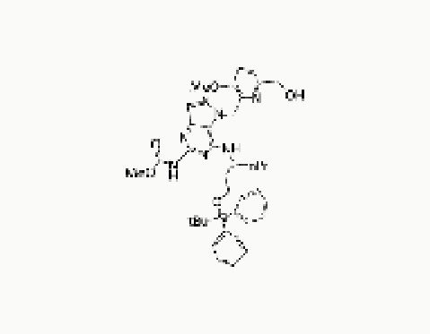 CCC[C@@H](CCO[Si](c1ccccc1)(c1ccccc1)C(C)(C)C)Nc1nc(NC(=O)OC)nc2cnn(Cc3nc(CO)ccc3OC)c12